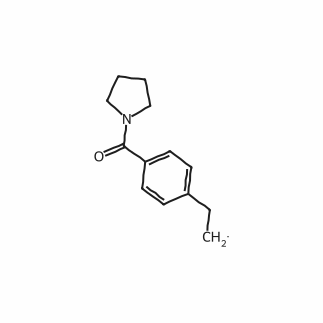 [CH2]Cc1ccc(C(=O)N2CCCC2)cc1